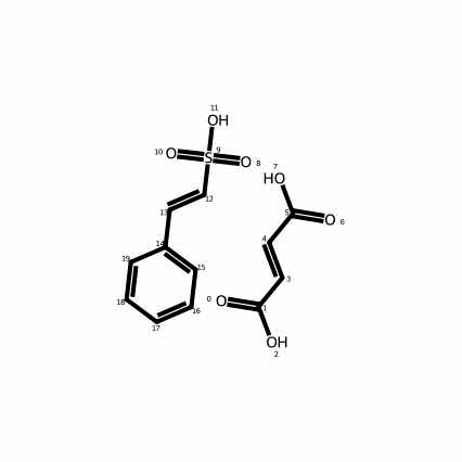 O=C(O)C=CC(=O)O.O=S(=O)(O)C=Cc1ccccc1